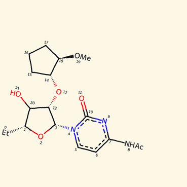 CC[C@H]1O[C@@H](n2ccc(NC(C)=O)nc2=O)[C@@H](O[C@@H]2CCC[C@H]2OC)C1O